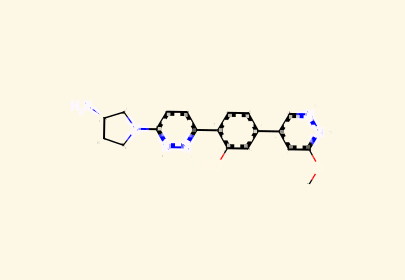 COc1cc(-c2ccc(-c3ccc(N4CC[C@@H](N)C4)nn3)c(O)c2)cnn1